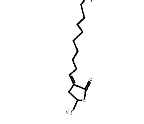 CCCCCCCCCC=C1CC(C)OC1=O